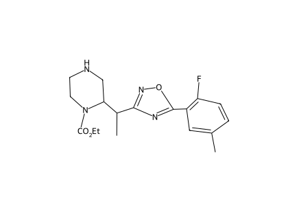 CCOC(=O)N1CCNCC1C(C)c1noc(-c2cc(C)ccc2F)n1